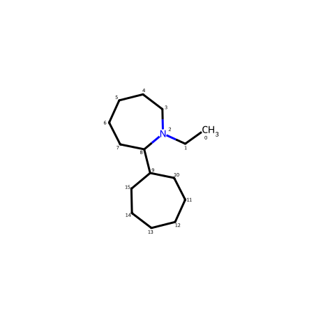 CCN1CCCCCC1C1CCCCCC1